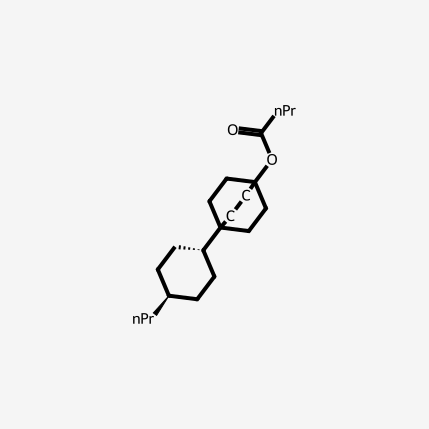 CCCC(=O)OC12CCC([C@H]3CC[C@H](CCC)CC3)(CC1)CC2